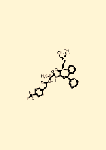 CCN(CC)CCN1C(=O)C(NC(=O)[C@H](C)NC(=O)Cc2ccc(C(F)(F)F)cc2)N=C(c2ccccn2)c2ccccc21